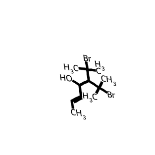 CC=CC(O)C(C(C)(C)Br)C(C)(C)Br